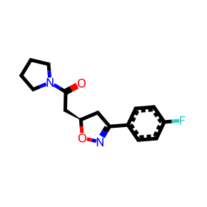 O=C(C[C@H]1CC(c2ccc(F)cc2)=NO1)N1CCCC1